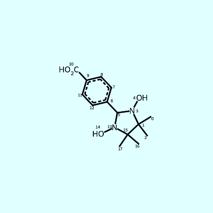 CC1(C)N(O)C(c2ccc(C(=O)O)cc2)N(O)C1(C)C